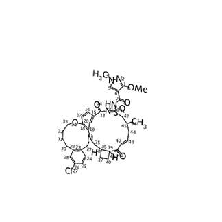 COc1nn(C)cc1C(=O)N[S@@]1(=O)=NC(=O)c2ccc3c(c2)N(Cc2ccc(Cl)cc2CCCCO3)C[C@@H]2CC[C@H]2C(=O)/C=C/C[C@H](C)C1